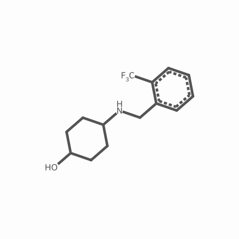 OC1CCC(NCc2ccccc2C(F)(F)F)CC1